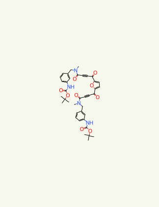 CN(Cc1cccc(NC(=O)OC(C)(C)C)c1)C(=O)C#CC(=O)c1ccc(C(=O)C#CC(=O)N(C)Cc2cccc(NC(=O)OC(C)(C)C)c2)o1